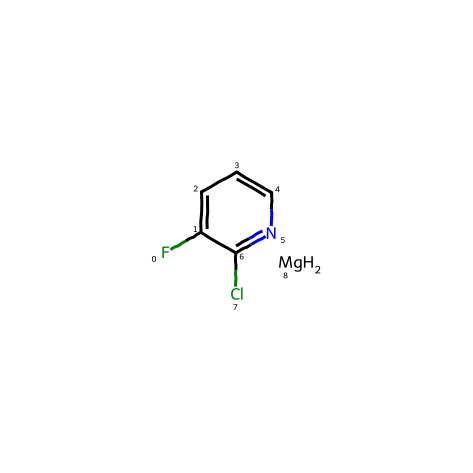 Fc1cccnc1Cl.[MgH2]